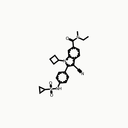 CCN(C)C(=O)c1ccc2c(C#N)c(-c3ccc(NS(=O)(=O)C4CC4)cc3)n(C3CCC3)c2c1